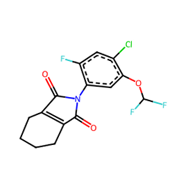 O=C1C2=C(CCCC2)C(=O)N1c1cc(OC(F)F)c(Cl)cc1F